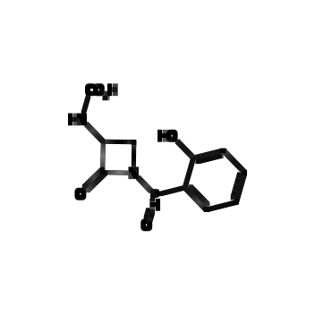 O=C(O)NC1CN([PH](=O)c2ccccc2O)C1=O